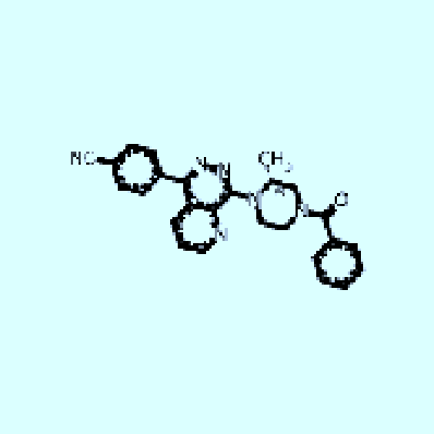 C[C@@H]1CN(C(=O)c2ccccc2)CCN1c1nnc(-c2ccc(C#N)cc2)c2cccnc12